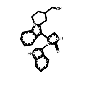 O=c1[nH]cc(-c2c3n(c4ccccc24)CCC(CO)C3)n1-c1c[nH]c2ccccc12